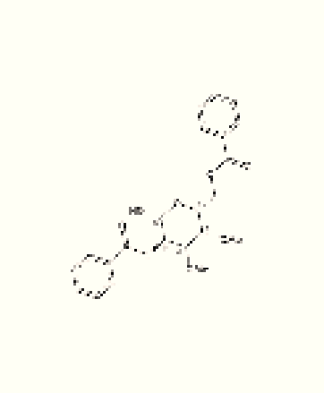 CO[C@@H]1[C@@H](OC(=O)c2ccccc2)[C@H](S)O[C@H](COC(=O)c2ccccc2)[C@@H]1OC